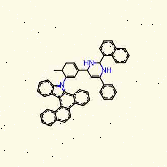 CC1CC=C(C2C=C(c3ccccc3)NC(c3cccc4ccccc34)N2)C=C1n1c2ccccc2c2c3c4ccccc4ccc3c3ccccc3c21